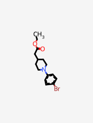 CCOC(=O)CC1CCN(c2ccc(Br)cc2)CC1